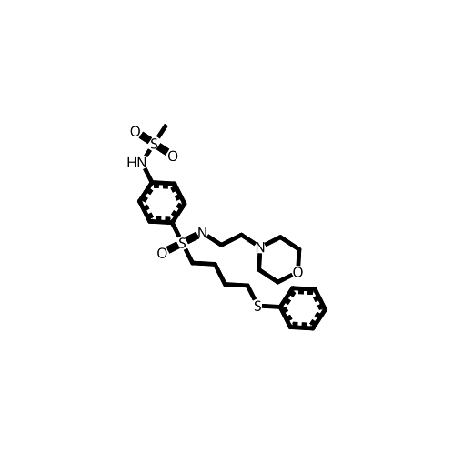 CS(=O)(=O)Nc1ccc(S(=O)(CCCCSc2ccccc2)=NCCN2CCOCC2)cc1